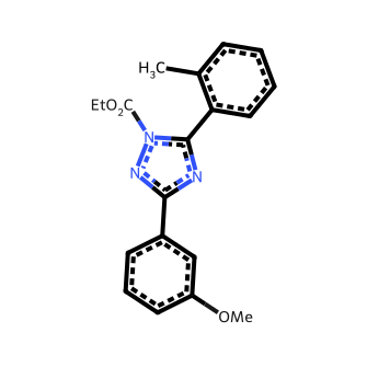 CCOC(=O)n1nc(-c2cccc(OC)c2)nc1-c1ccccc1C